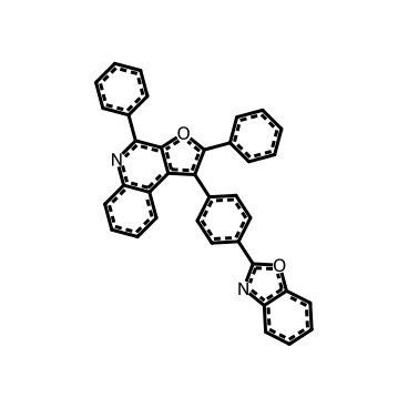 c1ccc(-c2oc3c(-c4ccccc4)nc4ccccc4c3c2-c2ccc(-c3nc4ccccc4o3)cc2)cc1